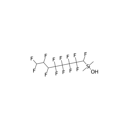 C[Si](C)(O)C(F)C(F)(F)C(F)(F)C(F)(F)C(F)(F)C(F)C(F)C(F)F